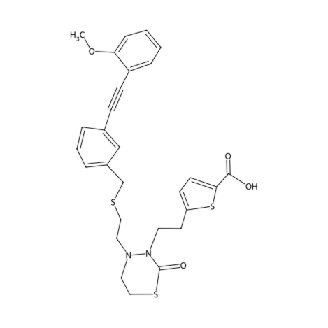 COc1ccccc1C#Cc1cccc(CSCCN2CCSC(=O)N2CCc2ccc(C(=O)O)s2)c1